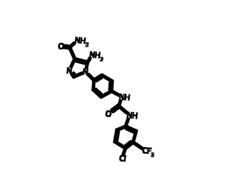 NC(=O)c1ncn(-c2ccc(NC(=O)Nc3ccc(Cl)c(C(F)(F)F)c3)cc2)c1N